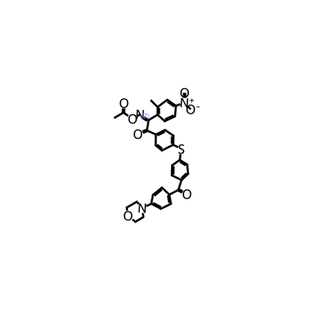 CC(=O)O/N=C(\C(=O)c1ccc(Sc2ccc(C(=O)c3ccc(N4CCOCC4)cc3)cc2)cc1)c1ccc([N+](=O)[O-])cc1C